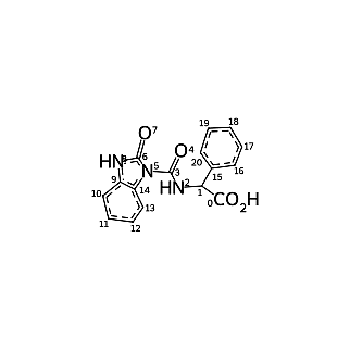 O=C(O)C(NC(=O)n1c(=O)[nH]c2ccccc21)c1ccccc1